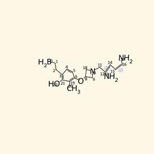 BCCc1ccc(OC2CN(C/C(N)=C/C=C\N)C2)c(C)c1O